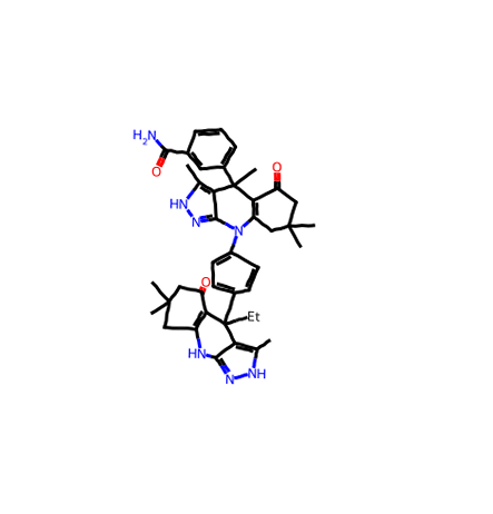 CCC1(c2ccc(N3C4=C(C(=O)CC(C)(C)C4)C(C)(c4cccc(C(N)=O)c4)c4c3n[nH]c4C)cc2)C2=C(CC(C)(C)CC2=O)Nc2n[nH]c(C)c21